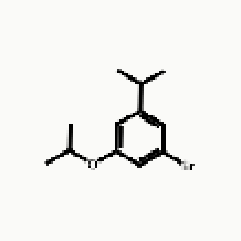 C[C](C)c1cc(Br)cc(OC(C)C)c1